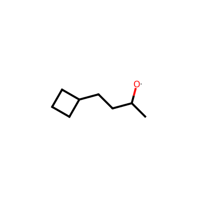 CC([O])CCC1CCC1